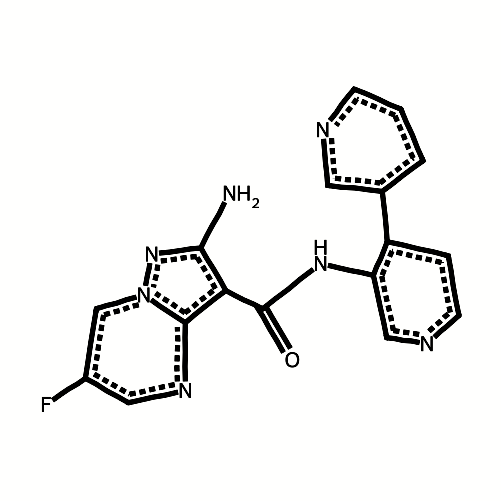 Nc1nn2cc(F)cnc2c1C(=O)Nc1cnccc1-c1cccnc1